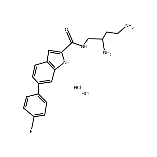 Cl.Cl.NCCC(N)CNC(=O)c1cc2ccc(-c3ccc(F)cc3)cc2[nH]1